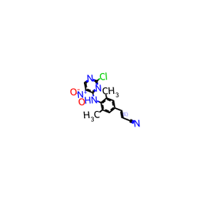 Cc1cc(/C=C/C#N)cc(C)c1Nc1nc(Cl)ncc1[N+](=O)[O-]